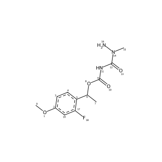 COc1ccc(C(C)OC(=O)NC(=O)N(C)N)c(F)c1